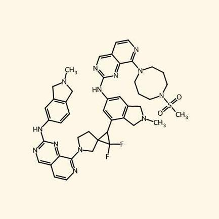 CN1Cc2ccc(Nc3ncc4ccnc(N5CCC6(C5)C(c5cc(Nc7ncc8ccnc(N9CCCN(S(C)(=O)=O)CCC9)c8n7)cc7c5CN(C)C7)C6(F)F)c4n3)cc2C1